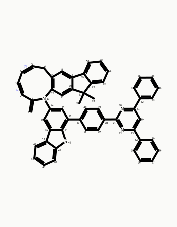 C=C1/C=C\C=C/Cc2cc3c(cc2N1c1cc(-c2ccc(-c4nc(-c5ccccc5)cc(-c5ccccc5)n4)cc2)c2sc4ccccc4c2c1)C(C)(C)c1ccccc1-3